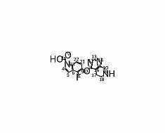 O=C(O)n1ccc2c(F)c(Oc3ncnc4c3CCNC4)ccc21